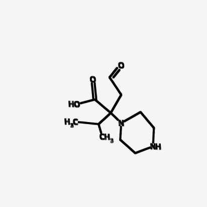 CC(C)C(CC=O)(C(=O)O)N1CCNCC1